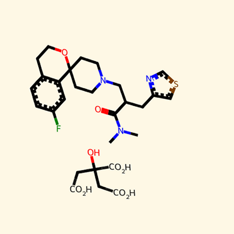 CN(C)C(=O)C(Cc1cscn1)CN1CCC2(CC1)OCCc1ccc(F)cc12.O=C(O)CC(O)(CC(=O)O)C(=O)O